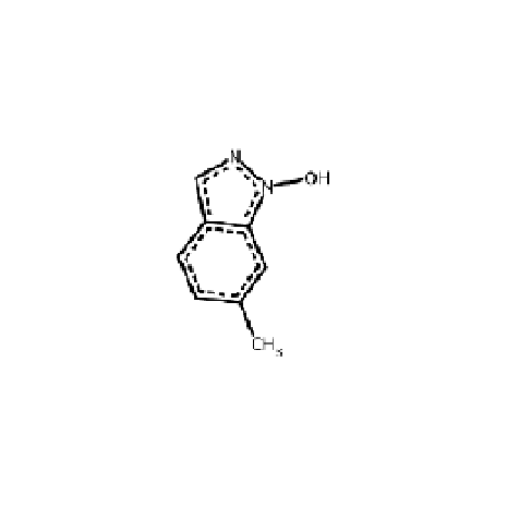 Cc1ccc2cnn(O)c2c1